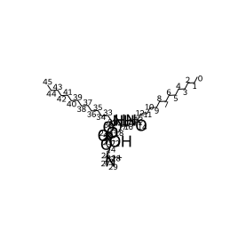 CCCCCCCCCCCCCC(=O)NCC(COP(=O)(O)OCC[N+](C)(C)C)NC(=O)CCCCCCCCCCCCC